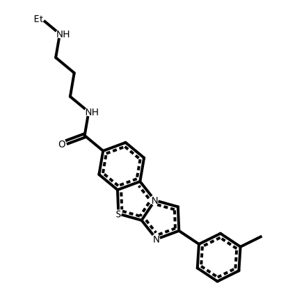 CCNCCCNC(=O)c1ccc2c(c1)sc1nc(-c3cccc(C)c3)cn12